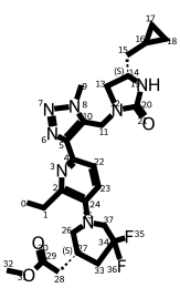 CCc1nc(-c2nnn(C)c2CN2C[C@H](CC3CC3)NC2=O)ccc1N1C[C@@H](CC(=O)OC)CC(F)(F)C1